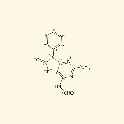 Cc1nc(N[C]=O)c2[nH]c(=O)n(-c3ccccc3)c2n1